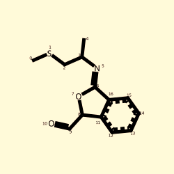 CSCC(C)N=C1OC(C=O)c2ccccc21